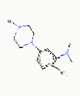 CCN1CCN(c2ccc([N+](=O)[O-])c(N(C)C)c2)CC1